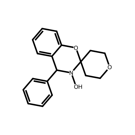 ON1C(c2ccccc2)c2ccccc2OC12CCOCC2